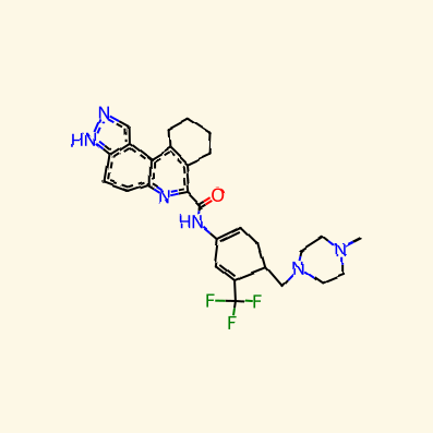 CN1CCN(CC2CC=C(NC(=O)c3nc4ccc5[nH]ncc5c4c4c3CCCC4)C=C2C(F)(F)F)CC1